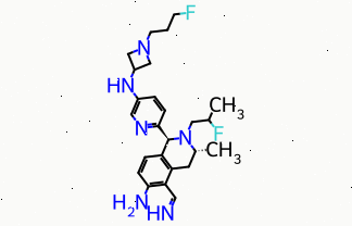 CC(F)CN1[C@H](c2ccc(NC3CN(CCCF)C3)cn2)c2ccc(N)c(C=N)c2C[C@H]1C